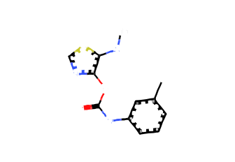 Cc1cccc(NC(=O)Oc2ncsc2NC(C)C)c1